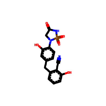 N#Cc1c(O)cccc1Cc1ccc(N2CC(=O)NS2(=O)=O)c(O)c1